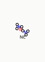 N#Cc1ccc2c3ccccc3n(-c3ccc4oc5c(-n6c7ccccc7c7ccccc76)cccc5c4c3)c2c1